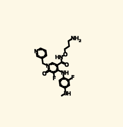 CBc1ccc(Nc2c(C(=O)NOCCCN)cn(Cc3cccnc3)c(=O)c2F)c(F)c1